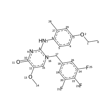 CCOc1ccc(Nc2nc(=O)c(OC)cn2Cc2cc(F)c(F)c(F)c2)c(C)c1